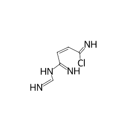 N=CNC(=N)/C=C\C(=N)Cl